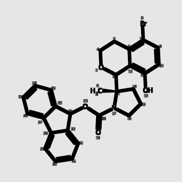 C[C@@]1(C2OCCc3c(Br)ccc(O)c32)CCCN1C(=O)OC1c2ccccc2-c2ccccc21